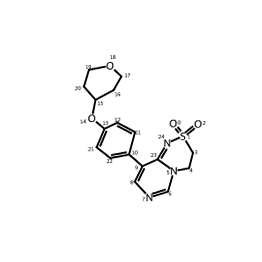 O=S1(=O)CCN2C=NC=C(c3ccc(OC4CCOCC4)cc3)C2=N1